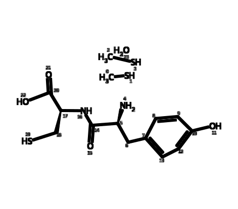 CS.CS.N[C@@H](Cc1ccc(O)cc1)C(=O)N[C@@H](CS)C(=O)O.O